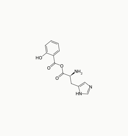 N[C@@H](Cc1cnc[nH]1)C(=O)OC(=O)c1ccccc1O